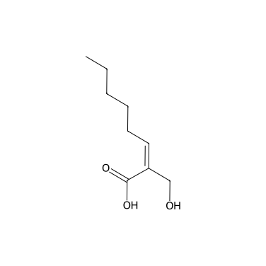 CCCCCC=C(CO)C(=O)O